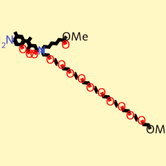 COCCOCCOCCOCCOCCOCCOCCOCCOCCOCCOCCN(CCCCCC(=O)OC)C(=O)Cc1c(C)c2cc(C)c(N)cc2oc1=O